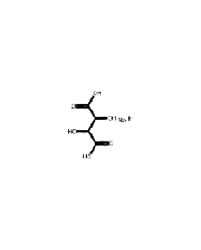 O=C(O)C(O)C(O)C(=O)O.[K].[Na]